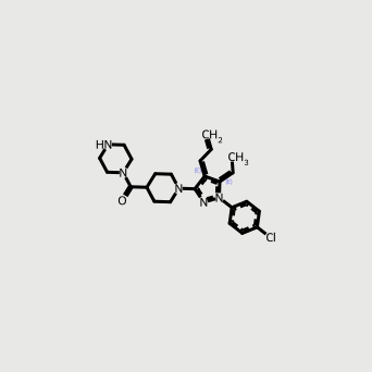 C=C/C=c1/c(N2CCC(C(=O)N3CCNCC3)CC2)nn(-c2ccc(Cl)cc2)/c1=C/C